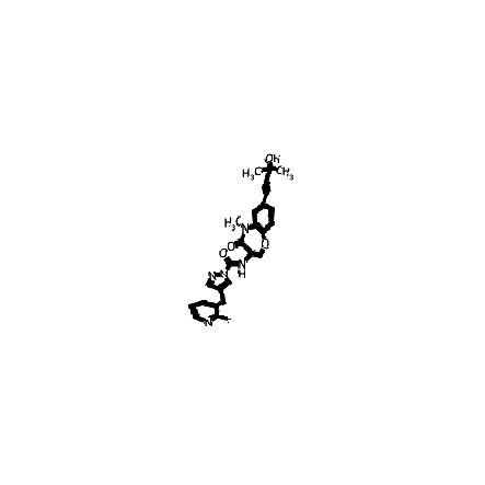 CN1C(=O)C(NC(=O)n2cc(Cc3cccnc3F)cn2)COc2ccc(C#CC(C)(C)O)cc21